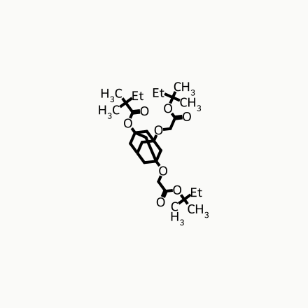 CCC(C)(C)OC(=O)COC12CC3CC(OCC(=O)OC(C)(C)CC)(C1)CC(OC(=O)C(C)(C)CC)(C3)C2